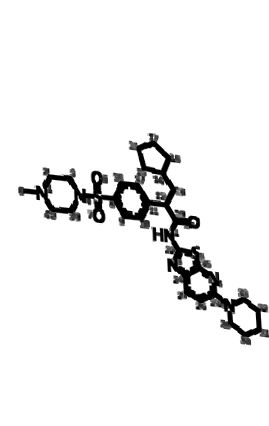 CN1CCN(S(=O)(=O)c2ccc(C(CC3CCCC3)C(=O)Nc3nc4ccc(N5CCCCC5)nc4s3)cc2)CC1